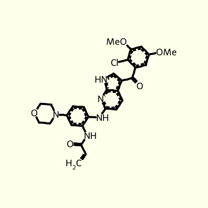 C=CC(=O)Nc1cc(N2CCOCC2)ccc1Nc1ccc2c(C(=O)c3cc(OC)cc(OC)c3Cl)c[nH]c2n1